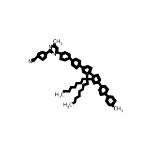 CCCCCCCCC1(CCCCCCCC)c2cc(-c3ccc(-c4ccc(C)cc4)cc3)ccc2-c2ccc(-c3ccc(-c4ccc(-c5cc(C)nc(-c6ccc(C#N)cc6)n5)cc4)cc3)cc21